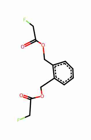 O=C(CF)OCc1ccccc1COC(=O)CF